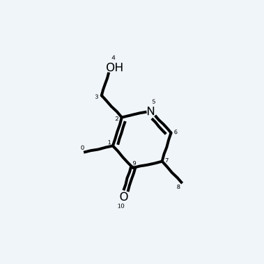 CC1=C(CO)N=CC(C)C1=O